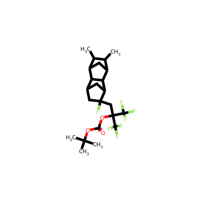 CC1C(C)C2CC1C1C3CC(C21)C(F)(CC(OC(=O)OC(C)(C)C)(C(F)(F)F)C(F)(F)F)C3